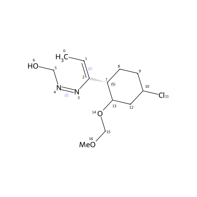 C/C=C(\N=N/CO)[C@@H]1CCC(Cl)CC1OCOC